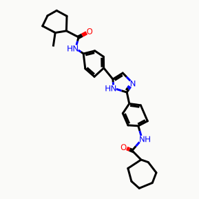 CC1CCCCC1C(=O)Nc1ccc(-c2cnc(-c3ccc(NC(=O)C4CCCCCC4)cc3)[nH]2)cc1